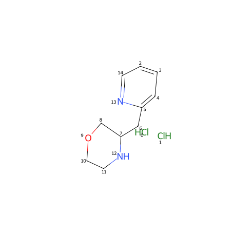 Cl.Cl.c1ccc(CC2COCCN2)nc1